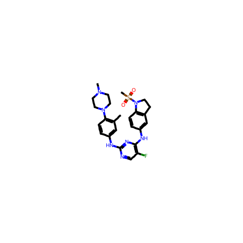 Cc1cc(Nc2ncc(F)c(Nc3ccc4c(c3)CCN4S(C)(=O)=O)n2)ccc1N1CCN(C)CC1